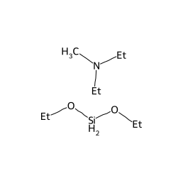 CCN(C)CC.CCO[SiH2]OCC